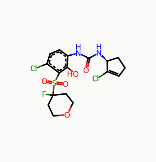 O=C(Nc1ccc(Cl)c(S(=O)(=O)C2(F)CCOCC2)c1O)N[C@H]1CCC=C1Cl